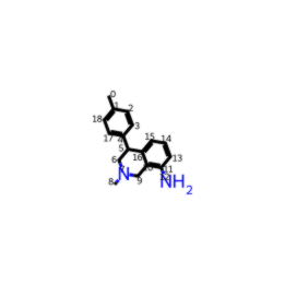 Cc1ccc(C2CN(C)Cc3c(N)cccc32)cc1